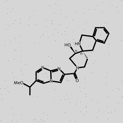 COC(C)c1cnc2nc(C(=O)N3CC[C@]4(Cc5ccccc5CN4)[C@H](O)C3)cn2c1